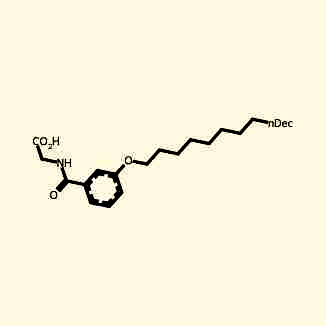 CCCCCCCCCCCCCCCCCCOc1cccc(C(=O)NCC(=O)O)c1